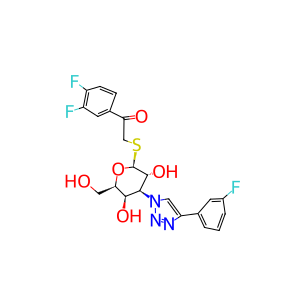 O=C(CS[C@@H]1O[C@H](CO)[C@H](O)[C@H](n2cc(-c3cccc(F)c3)nn2)[C@H]1O)c1ccc(F)c(F)c1